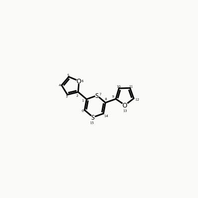 C1=C(c2ccco2)SC(c2ccco2)=CS1